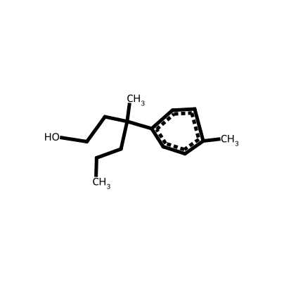 CCCC(C)(CCO)c1ccc(C)cc1